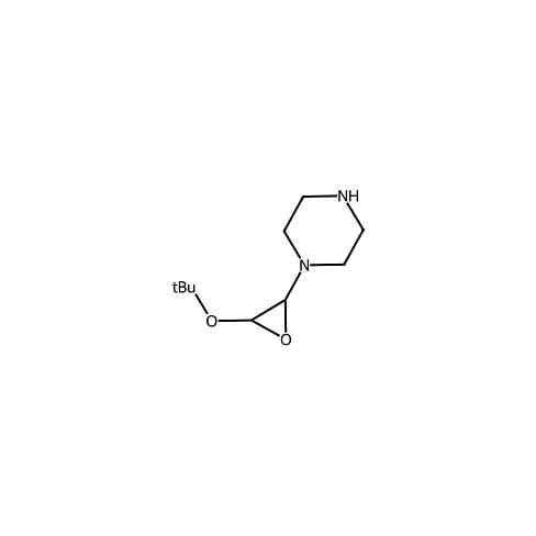 CC(C)(C)OC1OC1N1CCNCC1